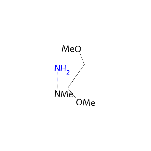 CNN.COCCOC